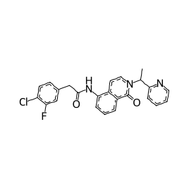 CC(c1ccccn1)n1ccc2c(NC(=O)Cc3ccc(Cl)c(F)c3)cccc2c1=O